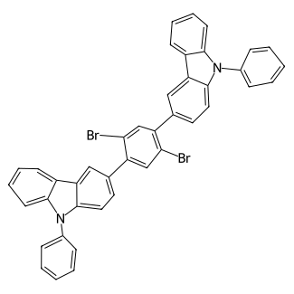 Brc1cc(-c2ccc3c(c2)c2ccccc2n3-c2ccccc2)c(Br)cc1-c1ccc2c(c1)c1ccccc1n2-c1ccccc1